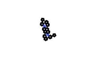 c1cc(C2CCCC2)cc(N(c2cccc3ccccc23)c2ccc3ccc4c(N(c5cccc(C6CCCC6)c5)c5cccc6ccccc56)ccc5ccc2c3c54)c1